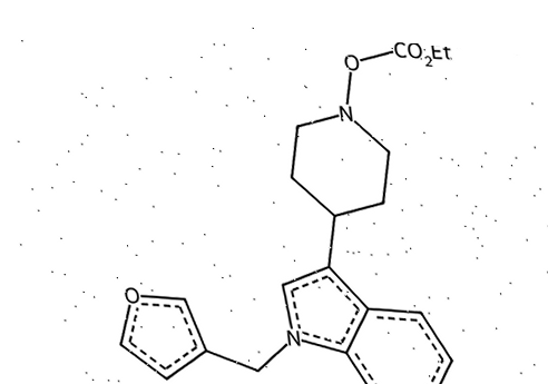 CCOC(=O)ON1CCC(c2cn(Cc3ccoc3)c3cnccc23)CC1